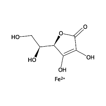 O=C1O[C@H]([C@@H](O)CO)C(O)=C1O.[Fe+2]